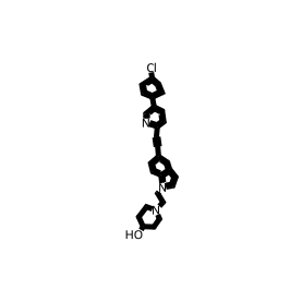 OC1CCN(CCn2ccc3cc(C#Cc4ccc(-c5ccc(Cl)cc5)cn4)ccc32)CC1